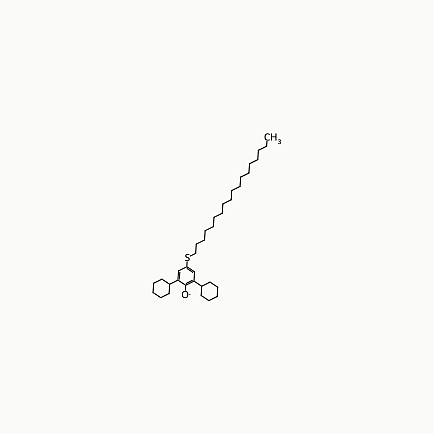 CCCCCCCCCCCCCCCCCCSc1cc(C2CCCCC2)c([O])c(C2CCCCC2)c1